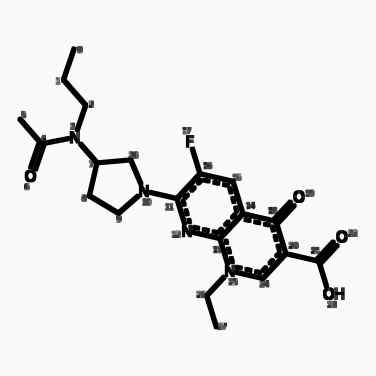 CCCN(C(C)=O)C1CCN(c2nc3c(cc2F)c(=O)c(C(=O)O)cn3CC)C1